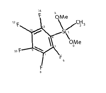 CO[Si](C)(OC)c1c(F)c(F)c(F)c(F)c1F